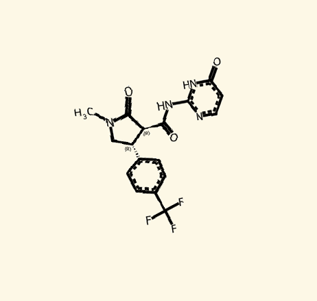 CN1C[C@@H](c2ccc(C(F)(F)F)cc2)[C@H](C(=O)Nc2nccc(=O)[nH]2)C1=O